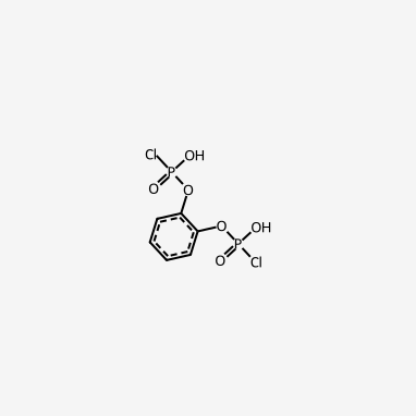 O=P(O)(Cl)Oc1ccccc1OP(=O)(O)Cl